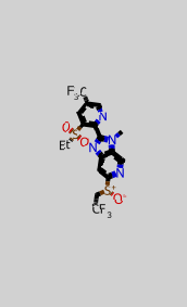 CCS(=O)(=O)c1cc(C(F)(F)F)cnc1-c1nc2cc([S+]([O-])CC(F)(F)F)ncc2n1C